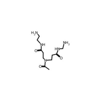 CC(=O)N(CCC(=O)NCN)CCC(=O)NCCN